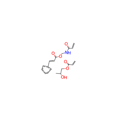 C=CC(=O)NCOC(=O)/C=C/c1ccccc1.C=CC(=O)OCC(C)O